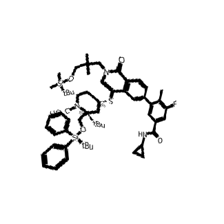 Cc1c(F)cc(C(=O)NC2CC2)cc1-c1ccc2c(=O)n(CC(C)(C)CO[Si](C)(C)C(C)(C)C)cc(S[C@H]3CCN(C(=O)O)[C@](CO[Si](c4ccccc4)(c4ccccc4)C(C)(C)C)(C(C)(C)C)C3)c2c1